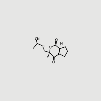 CC(C#N)OC[C@]1(C)OC(=O)[C@H]2CCCN2C1=O